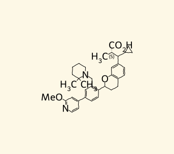 COc1cc(-c2ccc(C3CCc4ccc(C(C5CC5)[C@H](C)C(=O)O)cc4O3)c(CN3CCCCC3(C)C)c2)ccn1